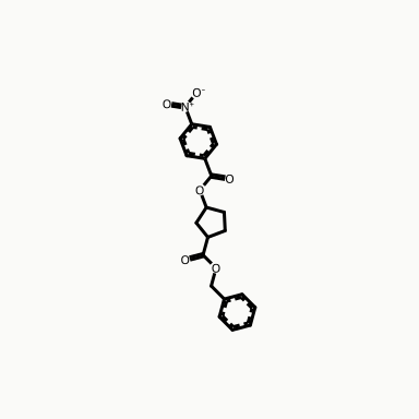 O=C(OC1CCC(C(=O)OCc2ccccc2)C1)c1ccc([N+](=O)[O-])cc1